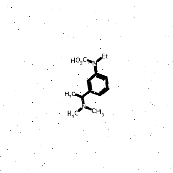 CCN(C(=O)O)c1cccc(C(C)N(C)C)c1